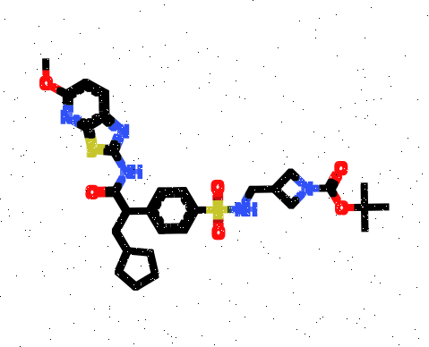 COc1ccc2nc(NC(=O)C(CC3CCCC3)c3ccc(S(=O)(=O)NCC4CN(C(=O)OC(C)(C)C)C4)cc3)sc2n1